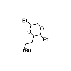 CCC1COC(CC)C(C[CH]C(C)(C)C)O1